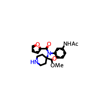 COC(=O)C1(N(C(=O)c2ccco2)c2cccc(NC(C)=O)c2)CCNCC1